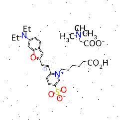 CCN(CC)c1ccc2cc(/C=C/c3ccc(S(=O)(=O)[O-])c[n+]3CCCCCC(=O)O)oc2c1.C[N+](C)(C)CC(=O)[O-]